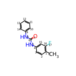 Cc1ccc(NC(=O)Nc2ccccc2)cc1F